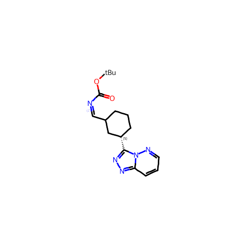 CC(C)(C)OC(=O)/N=C\C1CCC[C@H](c2nnc3cccnn23)C1